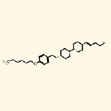 CCCCCCOc1ccc(CC[C@H]2CC[C@H]([C@H]3CC[C@H](C=CCCF)CC3)CC2)cc1